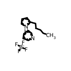 CCCCCc1ccc[nH]1.F[B-](F)(F)F.c1ccncc1